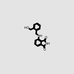 O=C1NC(=O)c2c(NCc3ccccc3CO)cccc21